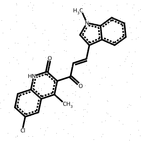 Cc1c(C(=O)C=Cc2cn(C)c3ccccc23)c(=O)[nH]c2ccc(Cl)cc12